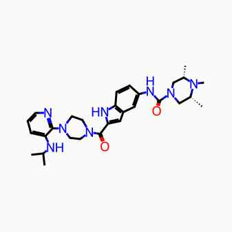 CC(C)Nc1cccnc1N1CCN(C(=O)c2cc3cc(NC(=O)N4C[C@@H](C)N(C)[C@@H](C)C4)ccc3[nH]2)CC1